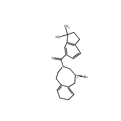 CC1(O)CCc2ccc(C(=O)N3CCC4=CCCC=C4C[C@H](C(C)(C)C)C3)cc21